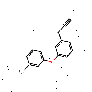 C#C[CH]c1cccc(Oc2cccc(C(F)(F)F)c2)c1